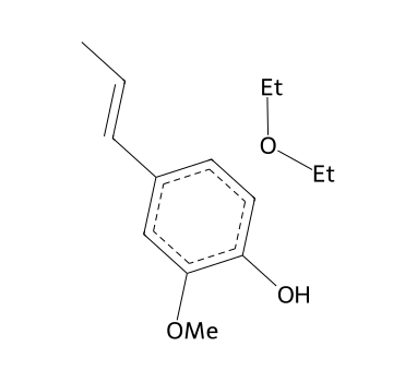 CC=Cc1ccc(O)c(OC)c1.CCOCC